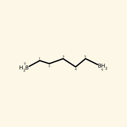 BCCCCCB